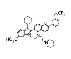 O=C(O)c1ccc2c(C3CCCCC3)c3n(c2c1)CCN(CCN1CCCCC1)c1c-3ccc2nc(-c3cccc(OC(F)(F)F)c3)ccc12